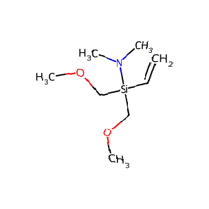 C=C[Si](COC)(COC)N(C)C